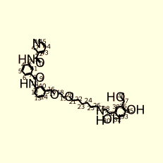 O=C(Nc1cccc(C(=O)Nc2cccc(COCCOCCCCCCNC[C@H](O)c3ccc(O)c(CO)c3)c2)c1)c1cccnc1